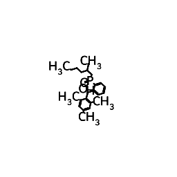 CCCCC(CC)C[PH](=O)c1ccccc1C(=O)c1c(C)cc(C)cc1C